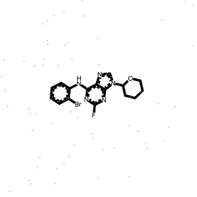 Fc1nc(Nc2ccccc2Br)c2ncn(C3CCCCO3)c2n1